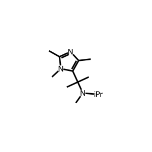 Cc1nc(C)n(C)c1C(C)(C)N(C)C(C)C